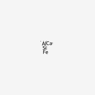 [Al].[Ca].[Fe].[Si]